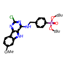 COc1ccc2c(c1)[nH]c1c(NCc3ccc(P(=O)(OC(C)(C)C)OC(C)(C)C)cc3)nc(Cl)nc12